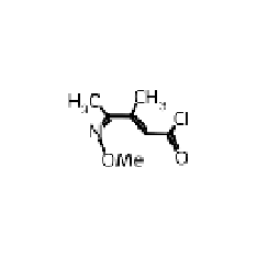 CON=C(C)C(C)=CC(=O)Cl